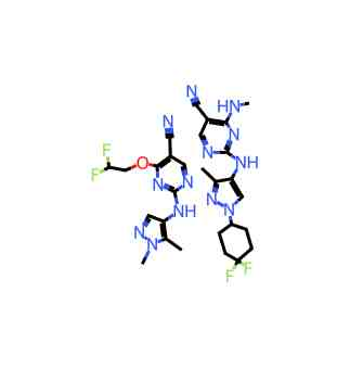 CNc1nc(Nc2cn(C3CCC(F)(F)CC3)nc2C)ncc1C#N.Cc1c(Nc2ncc(C#N)c(OCC(F)F)n2)cnn1C